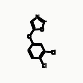 Clc1ccc(Oc2cn[c]o2)cc1Cl